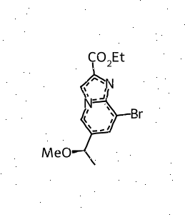 CCOC(=O)c1cn2cc([C@@H](C)OC)cc(Br)c2n1